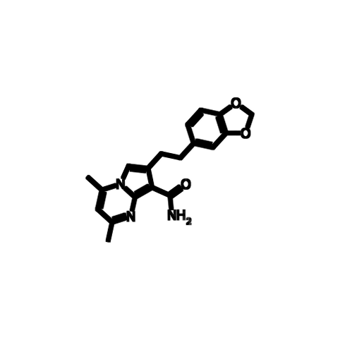 Cc1cc(C)n2cc(CCc3ccc4c(c3)OCO4)c(C(N)=O)c2n1